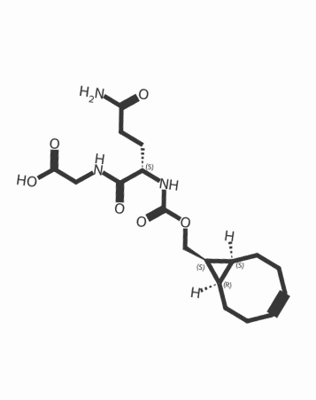 NC(=O)CC[C@H](NC(=O)OC[C@@H]1[C@@H]2CCC#CCC[C@@H]21)C(=O)NCC(=O)O